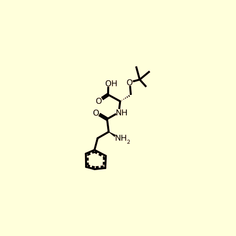 CC(C)(C)OC[C@H](NC(=O)[C@@H](N)Cc1ccccc1)C(=O)O